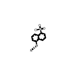 [N-]=[N+]=Nc1cccc2c(S(=O)(=O)Cl)cccc12